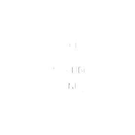 Br.CCC(N)=O